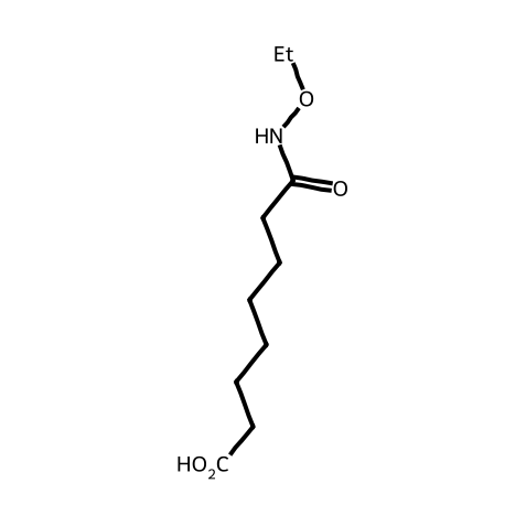 CCONC(=O)CCCCCCC(=O)O